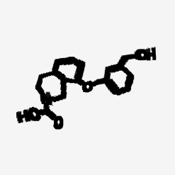 O=C(O)N1CCc2cccc(Oc3cccc(CO)c3)c2C1